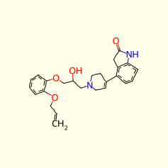 C=CCOc1ccccc1OCC(O)CN1CC=C(c2cccc3c2CC(=O)N3)CC1